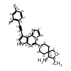 C[C@@H]1OCC2(CCN(c3nc4[nH]cc(C#Cc5ccc(F)cc5F)c4c4nccn34)CC2)[C@@H]1N